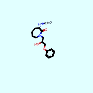 O=CN[C@H]1CCCCN(CC(O)COc2ccccc2)C1=O